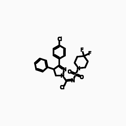 O=S(=O)(/N=C(/Cl)N1CC(c2ccccc2)C(c2ccc(Cl)cc2)=N1)N1CCC(F)(F)CC1